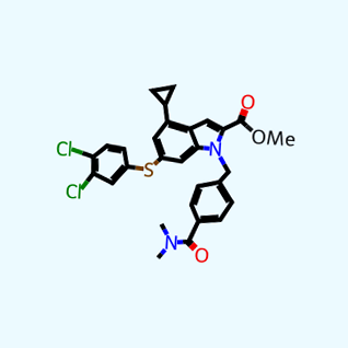 COC(=O)c1cc2c(C3CC3)cc(Sc3ccc(Cl)c(Cl)c3)cc2n1Cc1ccc(C(=O)N(C)C)cc1